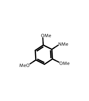 [CH2]Nc1c(OC)cc(OC)cc1OC